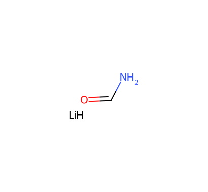 NC=O.[LiH]